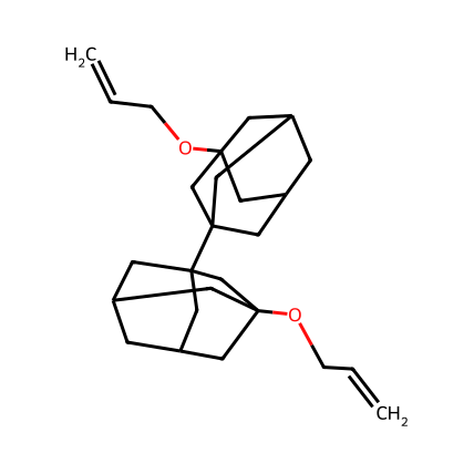 C=CCOC12CC3CC(C1)CC(C14CC5CC(CC(OCC=C)(C5)C1)C4)(C3)C2